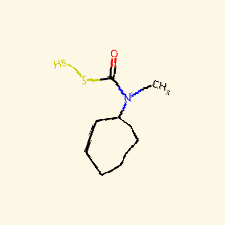 CN(C(=O)SS)C1CCCCC1